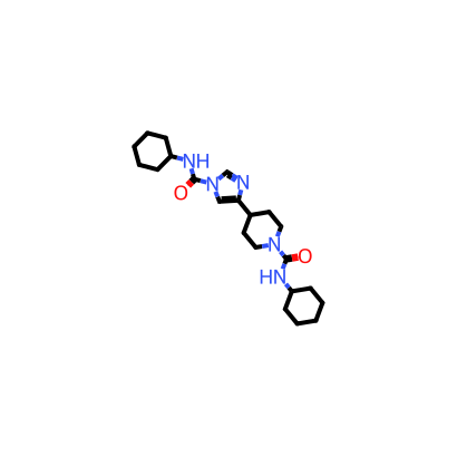 O=C(NC1CCCCC1)N1CCC(c2cn(C(=O)NC3CCCCC3)cn2)CC1